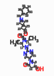 C[C@@H]1CN(c2ncc(N3CC(O)CC3=O)cn2)C[C@H](C)N1C(=O)OC1CC2(C1)CN(Cc1ccccc1)C2